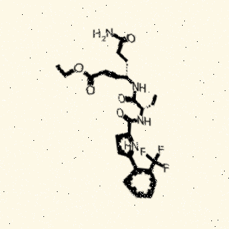 CCOC(=O)/C=C/[C@H](CCC(N)=O)NC(=O)[C@H](CC)NC(=O)c1ccc(-c2ccccc2C(F)(F)F)[nH]1